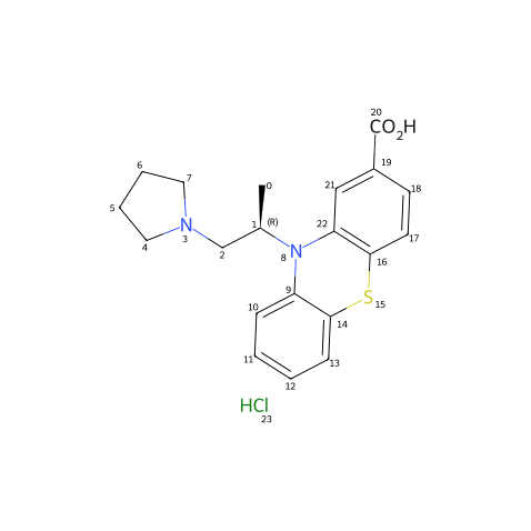 C[C@H](CN1CCCC1)N1c2ccccc2Sc2ccc(C(=O)O)cc21.Cl